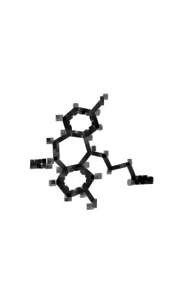 CNCCCC1c2cc(I)ccc2C=Cc2ccc(I)cc21.Cl